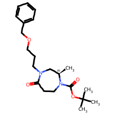 C[C@@H]1CN(CCCOCc2ccccc2)C(=O)CCN1C(=O)OC(C)(C)C